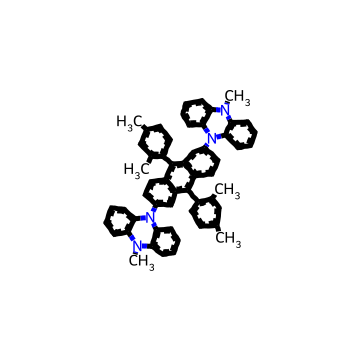 Cc1ccc(-c2c3ccc(N4c5ccccc5N(C)c5ccccc54)cc3c(-c3ccc(C)cc3C)c3ccc(N4c5ccccc5N(C)c5ccccc54)cc23)c(C)c1